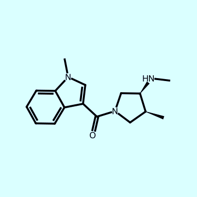 CN[C@@H]1CN(C(=O)c2cn(C)c3ccccc23)C[C@@H]1C